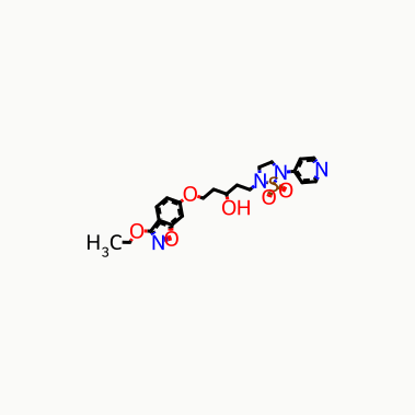 CCOc1noc2cc(OCCC(O)CCN3CCN(c4ccncc4)S3(=O)=O)ccc12